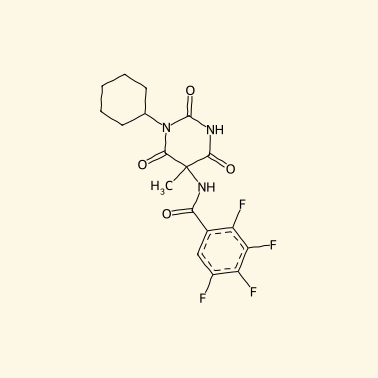 CC1(NC(=O)c2cc(F)c(F)c(F)c2F)C(=O)NC(=O)N(C2CCCCC2)C1=O